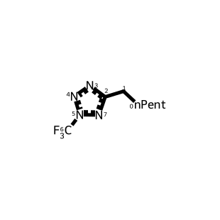 CCCCCCc1nnn(C(F)(F)F)n1